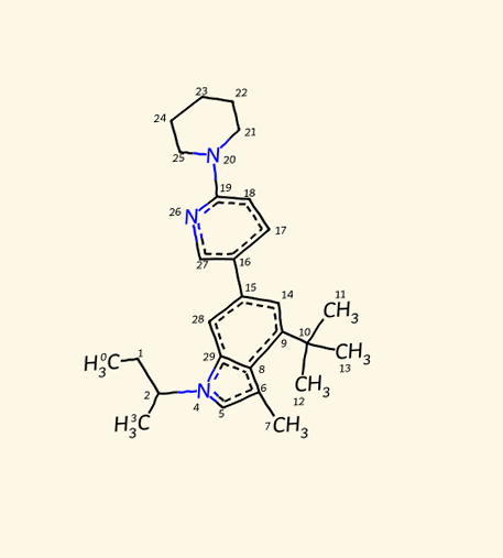 CCC(C)n1cc(C)c2c(C(C)(C)C)cc(-c3ccc(N4CCCCC4)nc3)cc21